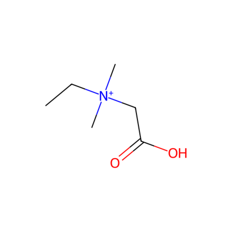 CC[N+](C)(C)CC(=O)O